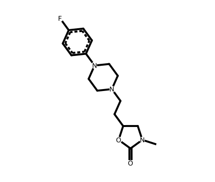 CN1CC(CCN2CCN(c3ccc(F)cc3)CC2)OC1=O